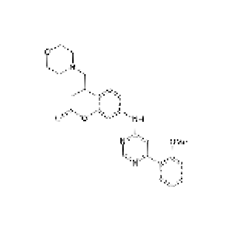 COc1ccccc1-c1cc(Nc2ccc3c(c2)OC(=O)CC3=CN2CCOCC2)ncn1